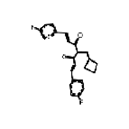 O=C(C=Cc1ccc(F)cc1)C(CC1CCC1)C(=O)C=Cc1ccc(F)cc1